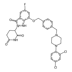 O=C1CCC(n2[nH]c3c(OCc4ccc(CN5CCN(c6ccc(Cl)cc6Cl)CC5)cc4)cc(F)cc3c2=O)C(=O)N1